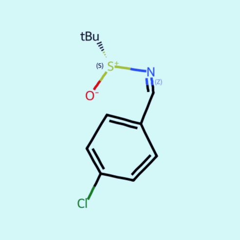 CC(C)(C)[S@@+]([O-])/N=C\c1ccc(Cl)cc1